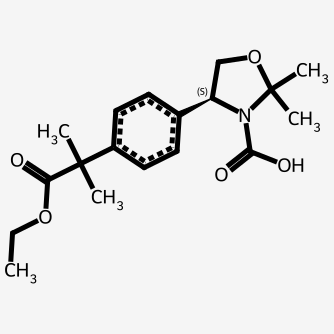 CCOC(=O)C(C)(C)c1ccc([C@H]2COC(C)(C)N2C(=O)O)cc1